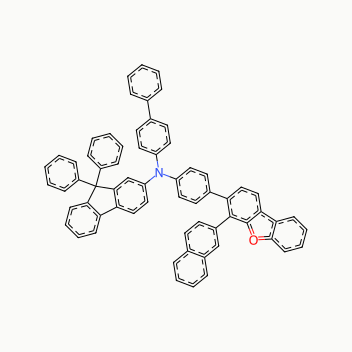 c1ccc(-c2ccc(N(c3ccc(-c4ccc5c(oc6ccccc65)c4-c4ccc5ccccc5c4)cc3)c3ccc4c(c3)C(c3ccccc3)(c3ccccc3)c3ccccc3-4)cc2)cc1